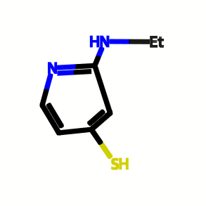 CCNc1cc(S)ccn1